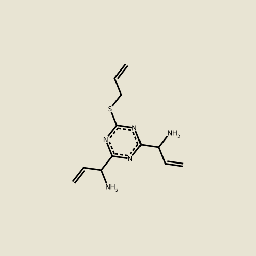 C=CCSc1nc(C(N)C=C)nc(C(N)C=C)n1